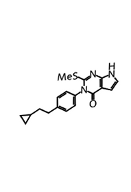 CSc1nc2[nH]ccc2c(=O)n1-c1ccc(CCC2CC2)cc1